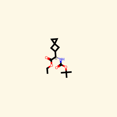 CCOC(=O)[C@@H](NC(=O)OC(C)(C)C)C1CC2(CC2)C1